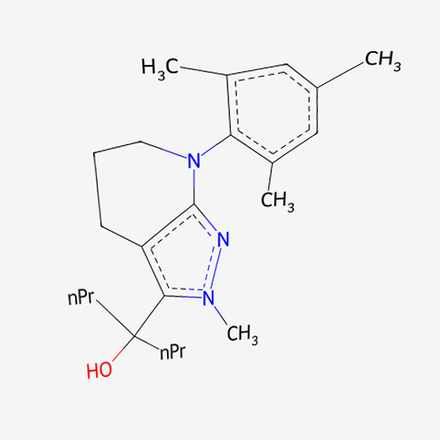 CCCC(O)(CCC)c1c2c(nn1C)N(c1c(C)cc(C)cc1C)CCC2